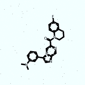 CN(C)c1cccc(-c2cnc3cnc(C(=O)N4CCCc5cc(F)ccc54)cn23)c1